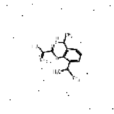 C=C(C)C(=O)Oc1c(C(C)C)cccc1C(C)C